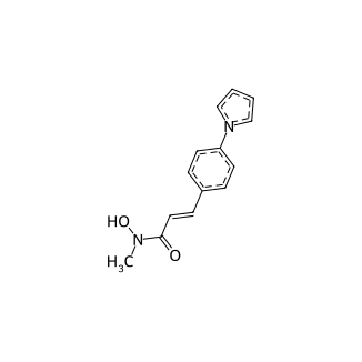 CN(O)C(=O)C=Cc1ccc(-n2cccc2)cc1